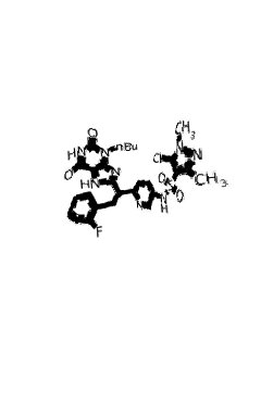 CCCCn1c(=O)[nH]c(=O)c2[nH]c(C(Cc3ccccc3F)c3ccc(NS(=O)(=O)c4c(C)nn(C)c4Cl)cn3)nc21